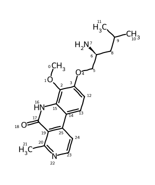 COc1c(OC[C@@H](N)CC(C)C)ccc2c1[nH]c(=O)c1c(C)nccc12